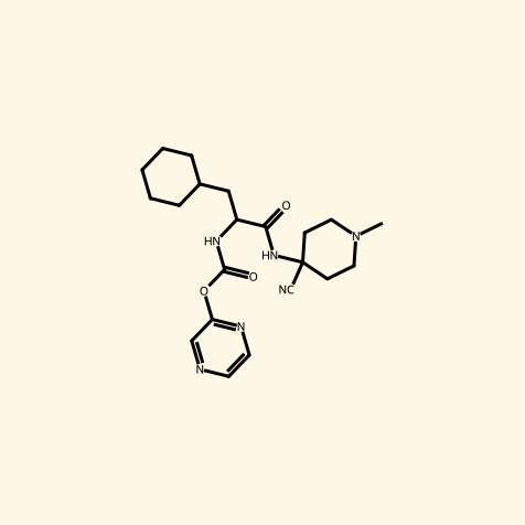 CN1CCC(C#N)(NC(=O)C(CC2CCCCC2)NC(=O)Oc2cnccn2)CC1